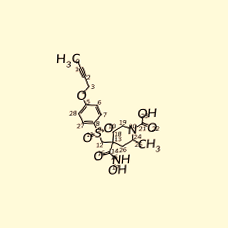 CC#CCOc1ccc(S(=O)(=O)CC2(C(=O)NO)CCN(C(=O)O)C(C)C2)cc1